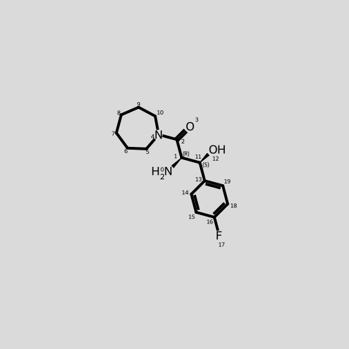 N[C@@H](C(=O)N1CCCCCC1)[C@@H](O)c1ccc(F)cc1